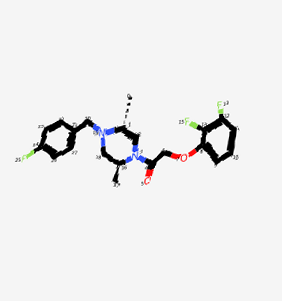 C[C@@H]1CN(C(=O)COc2cccc(F)c2F)[C@@H](C)CN1Cc1ccc(F)cc1